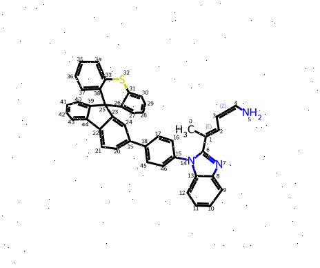 C/C(=C\C=C/N)c1nc2ccccc2n1-c1ccc(-c2ccc3c(c2)C2(c4ccccc4Sc4ccccc42)c2ccccc2-3)cc1